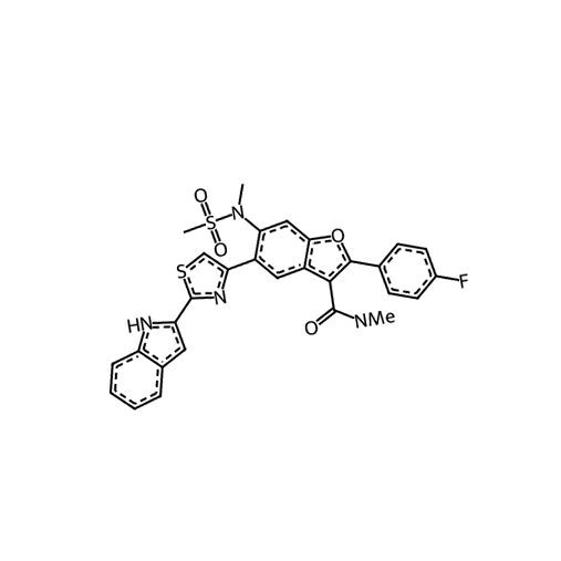 CNC(=O)c1c(-c2ccc(F)cc2)oc2cc(N(C)S(C)(=O)=O)c(-c3csc(-c4cc5ccccc5[nH]4)n3)cc12